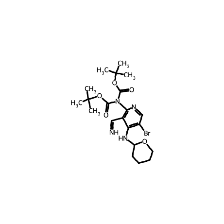 CC(C)(C)OC(=O)N(C(=O)OC(C)(C)C)c1ncc(Br)c(NC2CCCCO2)c1C=N